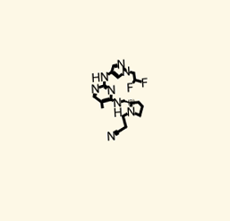 Cc1cnc(Nc2cnn(CC(F)F)c2)nc1NC[C@H]1CCCN1CCC#N